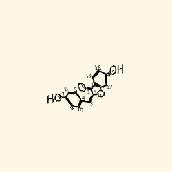 O=C1C(=Cc2ccc(O)cc2)Oc2cc(O)ccc21